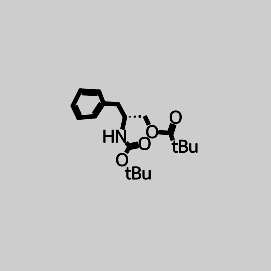 CC(C)(C)OC(=O)N[C@@H](COC(=O)C(C)(C)C)Cc1ccccc1